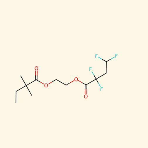 CCC(C)(C)C(=O)OCCOC(=O)C(F)(F)CC(F)F